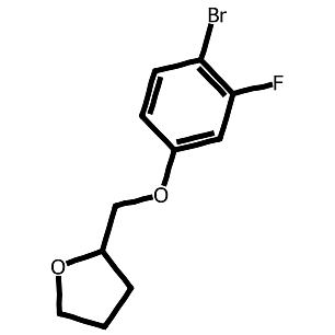 Fc1cc(OCC2CCCO2)ccc1Br